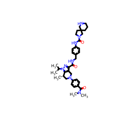 CC(C)n1nc(C(=O)NCc2ccc(NC(=O)N3CCC4(CCCNC4)C3)cc2)c2c1[C@@H](C)CN(c1ccc(C(=O)N(C)C)cc1)C2